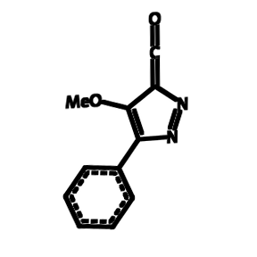 COC1=C(c2ccccc2)N=NC1=C=O